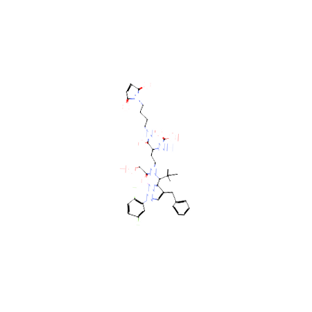 CC(C)(C)C(c1nn(-c2cc(F)ccc2F)cc1Cc1ccccc1)N(CCC(NC(=O)O)C(=O)NCCCCN1C(=O)C=CC1=O)C(=O)CO